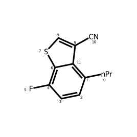 CCCc1ccc(F)c2scc(C#N)c12